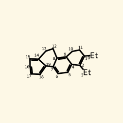 CCC1=C(CC)c2ccc3c(c2CC1)CCc1ccccc1-3